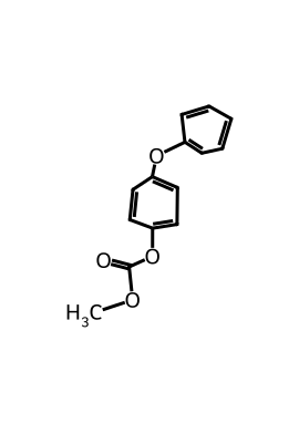 COC(=O)Oc1ccc(Oc2ccccc2)cc1